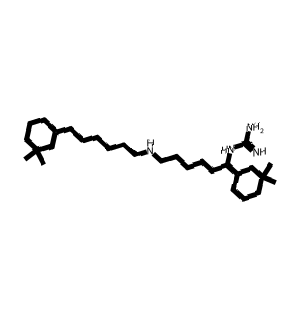 CC1(C)CCCC(CCCCCCNCCCCCC(NC(=N)N)C2CCCC(C)(C)C2)C1